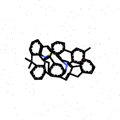 Cc1ccc(N2C3=C\SN4c5ccccc5C(C)(C)c5cccc(c54)-c4c(c2cc2c4CC4=C2C=CCC4)/C=C2/Cc4ccccc4/C2=C/3)c(-c2ccccc2)c1